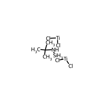 CC(C)(C)N[SiH3].[Cl][Ti][Cl].[Cl][Ti][Cl]